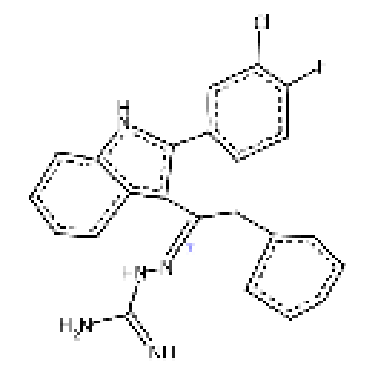 N=C(N)N/N=C(/Cc1ccccc1)c1c(-c2ccc(F)c(Cl)c2)[nH]c2ccccc12